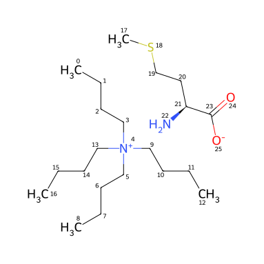 CCCC[N+](CCCC)(CCCC)CCCC.CSCC[C@H](N)C(=O)[O-]